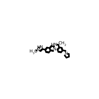 C=C(Nc1cc2cc(-c3cn(C)nn3)ccc2cn1)c1cccc(CN2CCCC2)c1